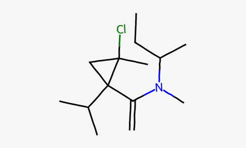 C=C(N(C)C(C)CC)C1(C(C)C)CC1(C)Cl